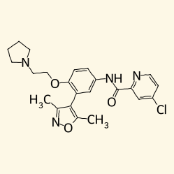 Cc1noc(C)c1-c1cc(NC(=O)c2cc(Cl)ccn2)ccc1OCCN1CCCC1